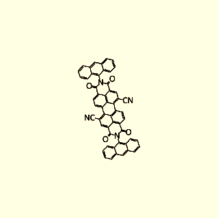 N#Cc1cc2c3c(ccc4c5c(C#N)cc6c7c(ccc(c1c34)c75)C(=O)N(c1c3ccccc3cc3ccccc13)C6=O)C(=O)N(c1c3ccccc3cc3ccccc13)C2=O